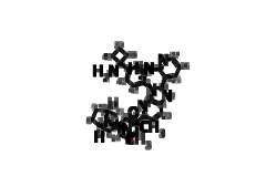 CC(=O)N(C)[C@H]1C[C@H]2CC[C@@H](C1)N2c1cccc(-c2ccc3nc(-c4cccnc4N)n(-c4ccc(C5(N)CCC5)cc4)c3n2)c1